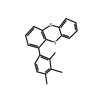 Cc1ccc(-c2cccc3c2Sc2ccccc2S3)c(C)c1C